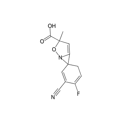 CC1(C(=O)O)C=C2N(O1)C21C=C(C#N)C(F)=CC1